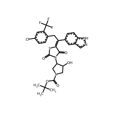 CC(C)(C)OC(=O)N1CC(O)C(N2C(=O)SC(=C(Cc3ccc(Cl)cc3C(F)(F)F)c3ccc4[nH]ncc4c3)C2=O)C1